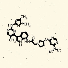 CCN(CC)c1cc(O[C@H]2CCN(CC(=O)Nc3cccc4c(-c5nc(Nc6cc(C)n(C)n6)ncc5C)c[nH]c34)C2)ncn1